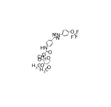 CO[C@H]1[C@H](OC(=O)Nc2ccc(-c3ncn(-c4ccc(OC(F)(F)F)cc4)n3)cc2)OC[C@H](OC)[C@H]1OC